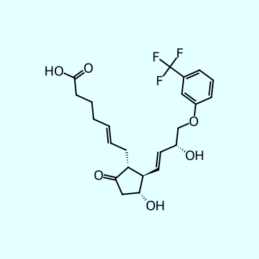 O=C(O)CCCC=CC[C@H]1C(=O)C[C@@H](O)[C@@H]1C=C[C@@H](O)COc1cccc(C(F)(F)F)c1